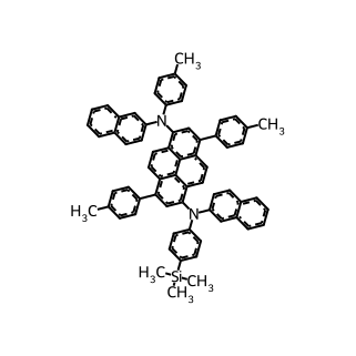 Cc1ccc(-c2cc(N(c3ccc(C)cc3)c3ccc4ccccc4c3)c3ccc4c(-c5ccc(C)cc5)cc(N(c5ccc([Si](C)(C)C)cc5)c5ccc6ccccc6c5)c5ccc2c3c45)cc1